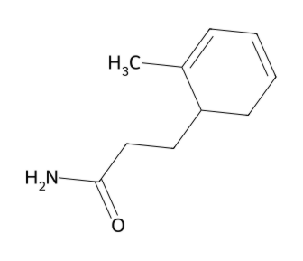 CC1=CC=CCC1CCC(N)=O